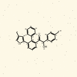 Cc1csc(-c2cccc(C(=O)C(O)c3ccc(F)cc3)c2-c2ccccc2)c1